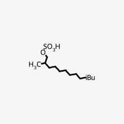 CCC(C)CCCCCCCC(C)COS(=O)(=O)O